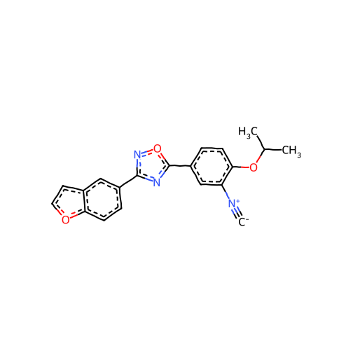 [C-]#[N+]c1cc(-c2nc(-c3ccc4occc4c3)no2)ccc1OC(C)C